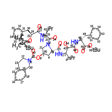 CCCC(NC(=O)[C@@H]1C[C@@H](OC(=O)N2CCc3ccccc3C2)CN1C(=O)[C@@H](NC(=O)[C@H](Cc1ccccc1)O[Si](C)(C)C(C)(C)C)C(C)C)C(=O)C(=O)N[C@H](Cc1ccccc1)C(=O)OC(C)(C)C